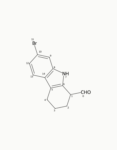 O=CC1CCCc2c1[nH]c1cc(Br)ccc21